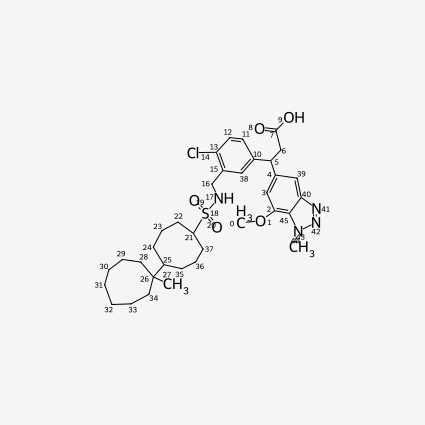 COc1cc(C(CC(=O)O)c2ccc(Cl)c(CNS(=O)(=O)C3CCCC(C4(C)CCCCCCC4)CCC3)c2)cc2nnn(C)c12